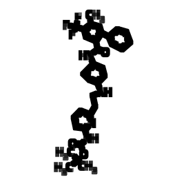 Cc1cc(-c2ccccc2)c(C(=O)Nc2ccc(NCCc3cccc(NC(=O)OC(C)(C)C)n3)cc2)cc1C(F)(F)F